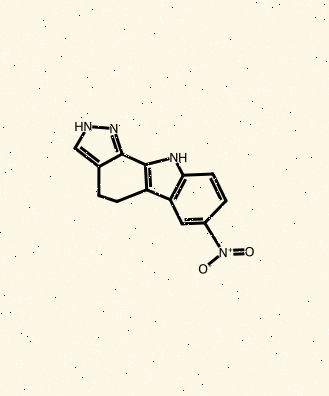 O=[N+]([O-])c1ccc2[nH]c3c(c2c1)CCc1c[nH]nc1-3